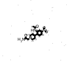 CC(=O)Nc1cc([N+](=O)[O-])ccc1C1=CCN(CC(N)=O)CC1